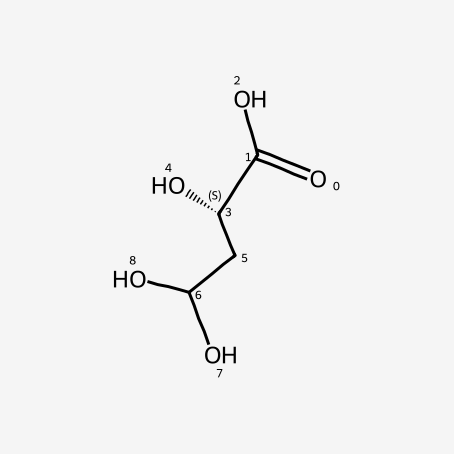 O=C(O)[C@@H](O)CC(O)O